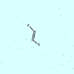 F/N=[N]/[Ti]